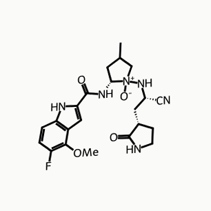 COc1c(F)ccc2[nH]c(C(=O)N[C@@H]3CC(C)C[N+]3([O-])N[C@H](C#N)C[C@@H]3CCNC3=O)cc12